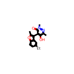 CCc1ccc2oc(C)c(-c3c(O)c(C)nn(C)c3=O)c2c1